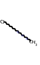 CC/C=C/C/C=C/C/C=C/CCCCCCCCCl